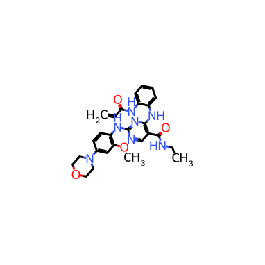 C=CC(=O)Nc1ccccc1Nc1nc(Nc2ccc(N3CCOCC3)cc2OC)ncc1C(=O)NCC